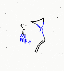 C=CN1CC1.[C-]#[NH+]